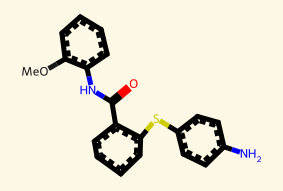 COc1ccccc1NC(=O)c1ccccc1Sc1ccc(N)cc1